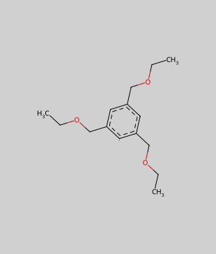 CCOCc1[c]c(COCC)cc(COCC)c1